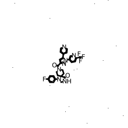 O=C(c1cc(-c2ccncc2)n(-c2ccc(C(F)(F)F)nc2)n1)N1CCC2(CC1)C(=O)NCN2c1ccc(F)cc1